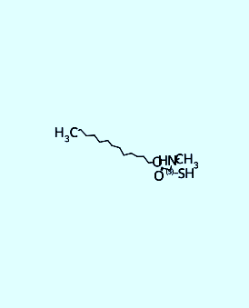 CCCCCCCCCCCCCOC(=O)[C@@H](CS)NC